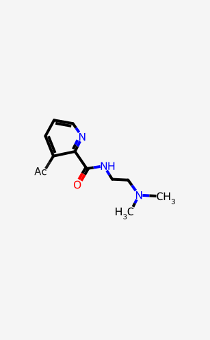 CC(=O)c1cccnc1C(=O)NCCN(C)C